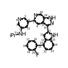 CC(C)Nc1cncc(-c2cc3c(-c4cc5c(-c6ccccc6F)cccc5[nH]4)n[nH]c3cn2)c1